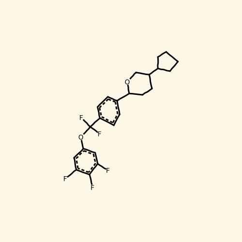 Fc1cc(OC(F)(F)c2ccc(C3CCC(C4CCCC4)CO3)cc2)cc(F)c1F